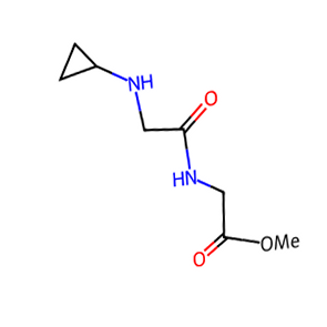 COC(=O)CNC(=O)CNC1CC1